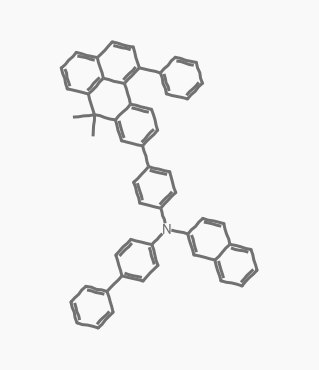 CC1(C)c2cc(-c3ccc(N(c4ccc(-c5ccccc5)cc4)c4ccc5ccccc5c4)cc3)ccc2-c2c(-c3ccccc3)ccc3cccc1c23